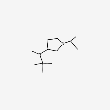 CC(C)N1CCC(N(C)C(C)(C)C)C1